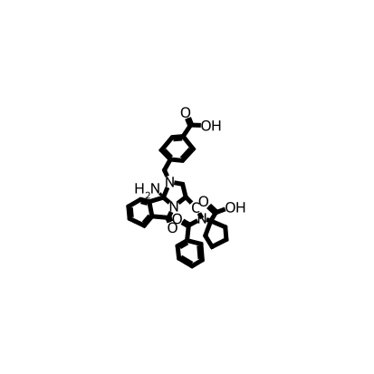 N[C@]12c3ccccc3C(=O)N1C(CN(C(=O)c1ccccc1)C1(C(=O)O)CCCC1)CN2Cc1ccc(C(=O)O)cc1